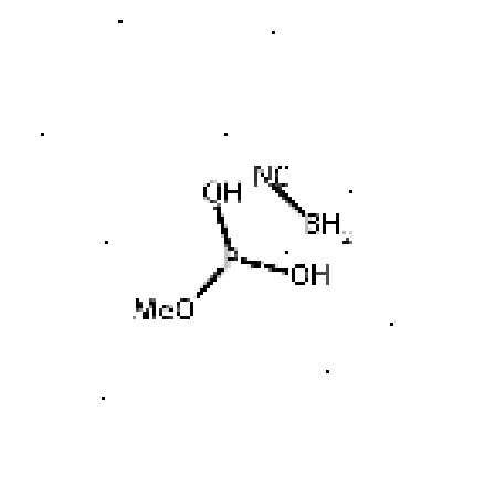 BC#N.COP(O)O